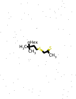 CCCCCCC(C)(C)CCSCC(C)=S